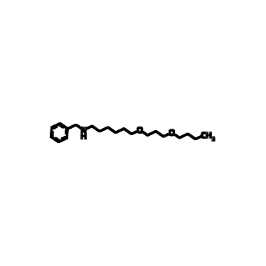 CCCCOCCCOCCCCCCNCc1ccccc1